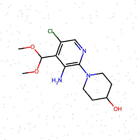 COC(OC)c1c(Cl)cnc(N2CCC(O)CC2)c1N